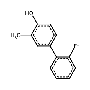 CCc1ccccc1-c1ccc(O)c(C)c1